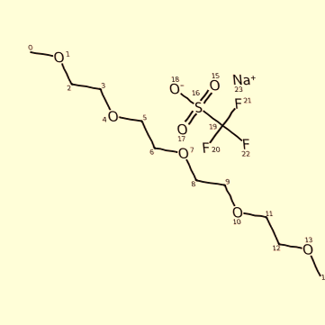 COCCOCCOCCOCCOC.O=S(=O)([O-])C(F)(F)F.[Na+]